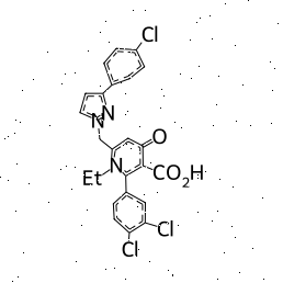 CCn1c(Cn2ccc(-c3ccc(Cl)cc3)n2)cc(=O)c(C(=O)O)c1-c1ccc(Cl)c(Cl)c1